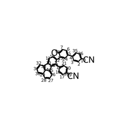 N#Cc1ccc(-c2ccc3oc4cc5c(c(-c6ccc(C#N)cc6)c4c3c2)-c2cccc3cccc-5c23)cc1